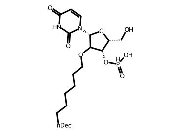 CCCCCCCCCCCCCCCCOC1[C@@H](O[PH](=O)O)[C@@H](CO)O[C@H]1n1ccc(=O)[nH]c1=O